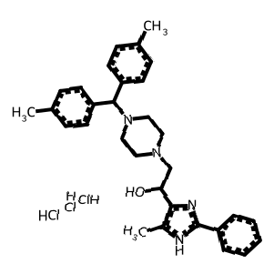 Cc1ccc(C(c2ccc(C)cc2)N2CCN(CC(O)c3nc(-c4ccccc4)[nH]c3C)CC2)cc1.Cl.Cl.Cl